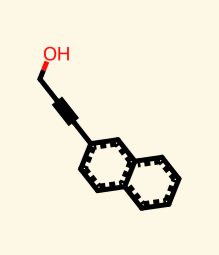 OCC#Cc1ccc2ccccc2c1